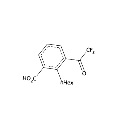 CCCCCCc1c(C(=O)O)cccc1C(=O)C(F)(F)F